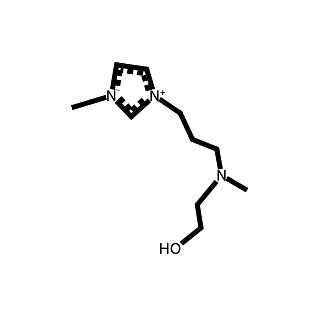 CN(CCO)CCC[n+]1ccn(C)c1